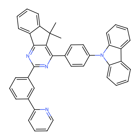 CC1(C)c2ccccc2-c2nc(-c3cccc(-c4ccccn4)c3)nc(-c3ccc(-n4c5ccccc5c5ccccc54)cc3)c21